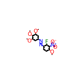 COc1cc(N=Nc2ccc(OC)c([N+](=O)[O-])c2F)cc(OC)c1OC